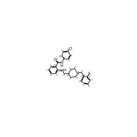 O=C(Nc1ccc(Cl)cn1)c1ccccc1NCC1CCN(Cc2ccccc2F)CC1